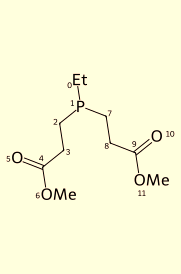 CCP(CCC(=O)OC)CCC(=O)OC